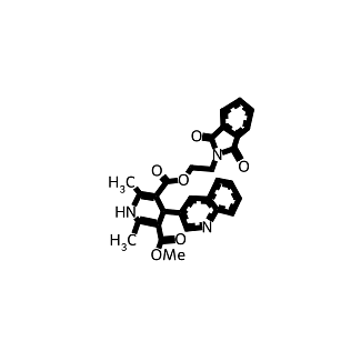 COC(=O)C1=C(C)NC(C)=C(C(=O)OCCN2C(=O)c3ccccc3C2=O)C1c1cnc2ccccc2c1